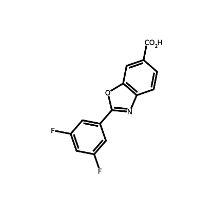 O=C(O)c1ccc2nc(-c3cc(F)cc(F)c3)oc2c1